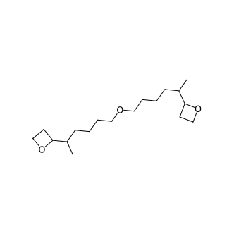 CC(CCCCOCCCCC(C)C1CCO1)C1CCO1